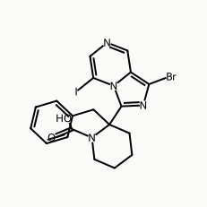 O=C(O)N1CCCCC1(Cc1ccccc1)c1nc(Br)c2cncc(I)n12